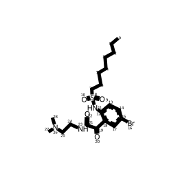 CCCCCCCCS(=O)(=O)Nc1ccc(Br)cc1C(=O)C(=O)NCCN(C)C